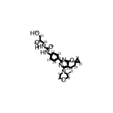 C[C@H]1COCCN1c1nc(-c2ccc(NC(=O)NC[C@H](O)CO)cc2)nc2c1CCC1(CC1)O2